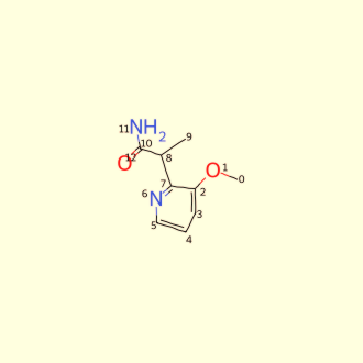 COc1cccnc1C(C)C(N)=O